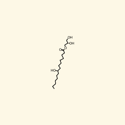 CCCCCCCC(O)CCCCCCCC(=O)OC[C@H](O)CO